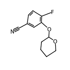 N#Cc1ccc(F)c(OC2CCCCO2)c1